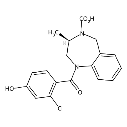 C[C@@H]1CN(C(=O)c2ccc(O)cc2Cl)c2ccccc2CN1C(=O)O